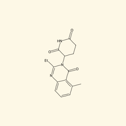 CCc1nc2cccc(C)c2c(=O)n1C1CCC(=O)NC1=O